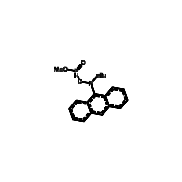 CCCCN(O[PH](=O)OC)c1c2ccccc2cc2ccccc12